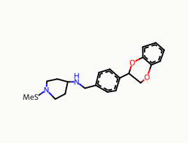 CSN1CCC(NCc2ccc(C3COc4ccccc4O3)cc2)CC1